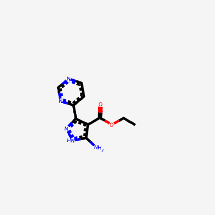 CCOC(=O)c1c(-c2ccncn2)n[nH]c1N